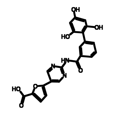 O=C(Nc1ncc(-c2ccc(C(=O)O)o2)cn1)c1cccc(-c2c(O)cc(O)cc2O)c1